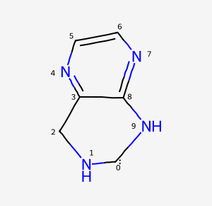 [C]1NCc2nccnc2N1